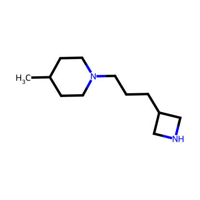 CC1CCN(CCCC2CNC2)CC1